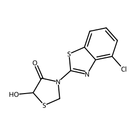 O=C1C(O)SCN1c1nc2c(Cl)cccc2s1